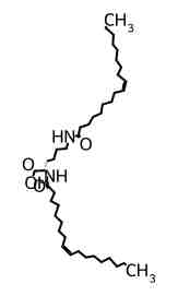 CCCCCCCC/C=C\CCCCCCCC(=O)NCCCC[C@H](NC(=O)CCCCCCC/C=C\CCCCCCCC)C(=O)O